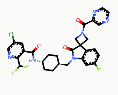 O=C(N[C@H]1CC[C@H](CN2C(=O)C3(CN(C(=O)c4cnccn4)C3)c3ccc(F)cc32)CC1)c1cc(Cl)cnc1C(F)F